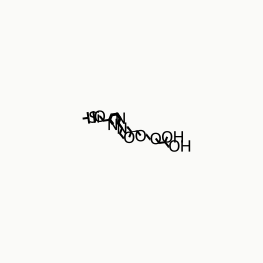 CC(C)(C)[Si](C)(C)OCc1ccnc(N2CCO[C@H](COCCOCC(O)CO)C2)n1